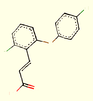 O=C(O)/C=C/c1c(F)cccc1Sc1ccc(Cl)cc1